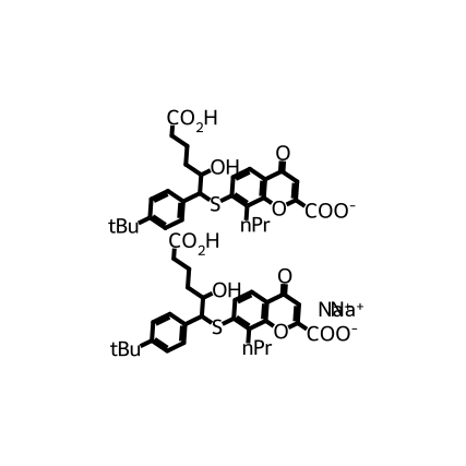 CCCc1c(SC(c2ccc(C(C)(C)C)cc2)C(O)CCCC(=O)O)ccc2c(=O)cc(C(=O)[O-])oc12.CCCc1c(SC(c2ccc(C(C)(C)C)cc2)C(O)CCCC(=O)O)ccc2c(=O)cc(C(=O)[O-])oc12.[Na+].[Na+]